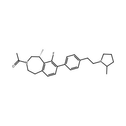 CC(=O)N1CCc2ccc(-c3ccc(CCN4CCCC4C)cc3)c(F)c2[C@@H](C)C1